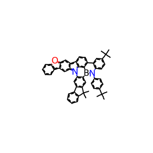 CC(C)(C)c1ccc(N2B3c4cc5c(cc4-n4c6cc7c(cc6c6ccc(c3c64)-c3cc(C(C)(C)C)ccc32)oc2ccccc27)-c2ccccc2C5(C)C)cc1